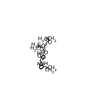 CC(C)Cc1cccc2nc(Cn3cccc(NC(=O)[C@H](CC/C=C/C(=O)N(C)C)OC(=O)N(C)C)c3=O)[nH]c12